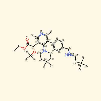 CCOC(=O)[C@@H](OC(C)(C)C)c1c(C)nc(C)c(-c2ccc(CNCCC(C)(C)C)cc2)c1N1CCC(C)(C)CC1